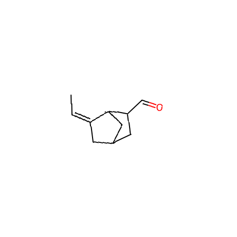 CC=C1CC2C[C]1C(C=O)C2